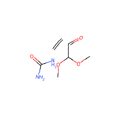 C=C.COC(C=O)OC.NC(N)=O